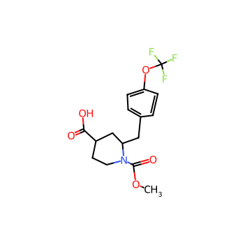 COC(=O)N1CCC(C(=O)O)CC1Cc1ccc(OC(F)(F)F)cc1